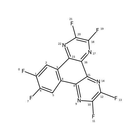 Fc1cc2c(cc1F)c1nc(F)c(F)nc1c1nc(F)c(F)nc21